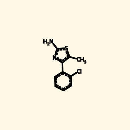 Cc1sc(N)nc1-c1ccccc1Cl